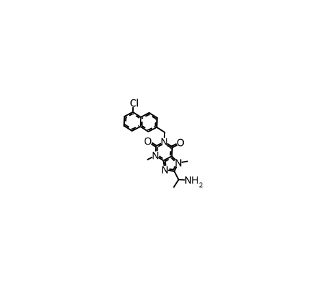 CC(N)c1nc2c(c(=O)n(Cc3ccc4c(Cl)cccc4c3)c(=O)n2C)n1C